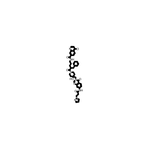 O=C(CCn1cccn1)Nc1ccc2c(=O)n(CC3(O)CCN(C(=O)C(CCCNC(=O)c4ccc5c(Cl)ccnc5c4)Cc4ccccc4)CC3)cnc2c1